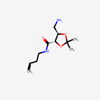 C=CCCNC(=O)[C@H]1OC(C)(C)O[C@@H]1CN